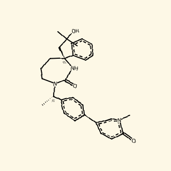 C[C@@H](c1ccc(-c2ccc(=O)n(C)c2)cc1)N1CCC[C@](CC(C)(C)O)(c2ccccc2)NC1=O